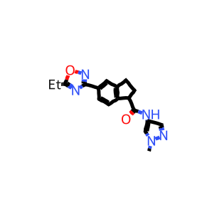 CCc1nc(-c2ccc3c(c2)CCC3C(=O)Nc2cnn(C)c2)no1